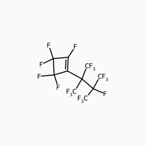 FC1=C(C(C(F)(F)F)(C(F)(F)F)C(F)(C(F)(F)F)C(F)(F)F)C(F)(F)C1(F)F